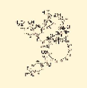 COc1ccc2c(O[C@@H]3C[C@H]4C(=O)N[C@]5(C(=O)NS(=O)(=O)C6CC6)CC5/C=C\CCCCC[C@H](CC(=O)N5CCC(C(F)(F)F)CC5)C(=O)N4C3)cc(-c3nc(C(C)C)cs3)nc2c1C